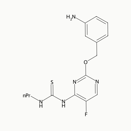 CCCNC(=S)Nc1nc(OCc2cccc(N)c2)ncc1F